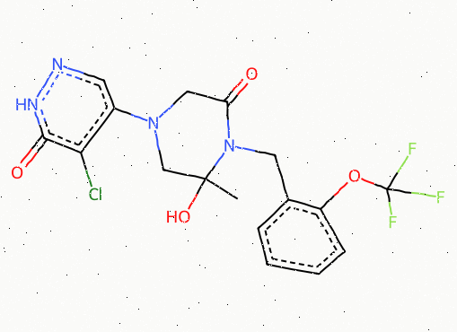 CC1(O)CN(c2cn[nH]c(=O)c2Cl)CC(=O)N1Cc1ccccc1OC(F)(F)F